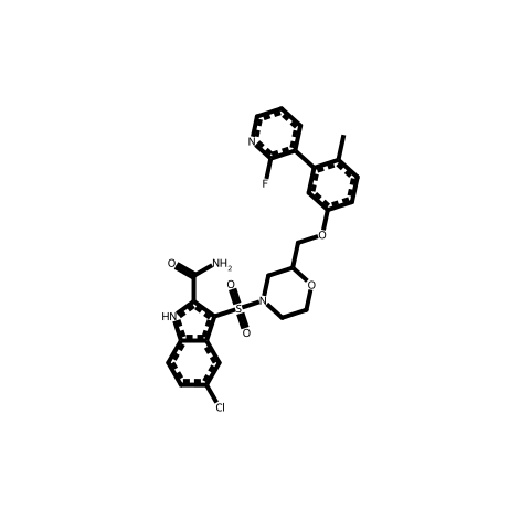 Cc1ccc(OCC2CN(S(=O)(=O)c3c(C(N)=O)[nH]c4ccc(Cl)cc34)CCO2)cc1-c1cccnc1F